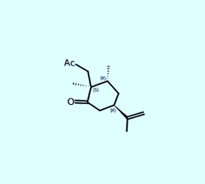 C=C(C)[C@H]1CC(=O)[C@@](C)(CC(C)=O)[C@H](C)C1